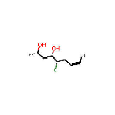 CC/C=C\C[C@@H](Cl)[C@@H](O)C[C@H](C)O